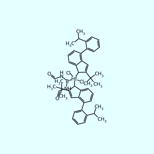 CC(C)c1ccccc1-c1cccc2c1C=C(C(C)(C)C)[CH]2[Hf]([Cl])([Cl])([B](NC=O)NC=O)[CH]1C(C(C)(C)C)=Cc2c(-c3ccccc3C(C)C)cccc21